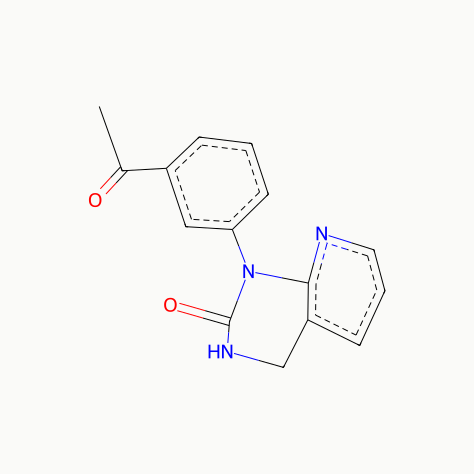 CC(=O)c1cccc(N2C(=O)NCc3cccnc32)c1